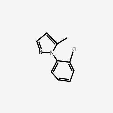 Cc1[c]cnn1-c1ccccc1Cl